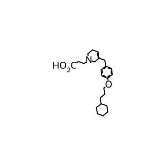 O=C(O)CCN1CCC=C(Cc2ccc(OCCCC3CCCCC3)cc2)C1